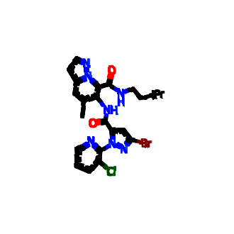 Cc1cc2ccnn2c(C(=O)NCCC(C)C)c1NC(=O)c1cc(Br)nn1-c1ncccc1Cl